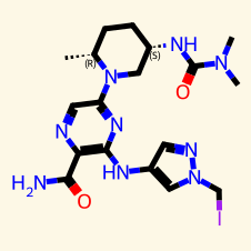 C[C@@H]1CC[C@H](NC(=O)N(C)C)CN1c1cnc(C(N)=O)c(Nc2cnn(CI)c2)n1